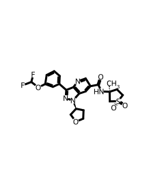 C[C@]1(NC(=O)c2cnc3c(-c4cccc(OC(F)F)c4)nn([C@H]4CCOC4)c3c2)CCS(=O)(=O)C1